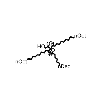 CCCCCCCCC=CCCCCCCCC(=O)C(OC(=O)CCCCCCCCCCCCCCC)(C(=O)CCCCCCCC=CCCCCCCCC)C(O)CO